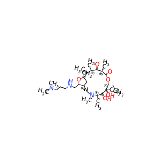 CC[C@H]1OC(=O)[C@H](C)C(=O)[C@H](C)[C@@H](C)[C@@]2(C)C[C@H](CN(C)[C@H](C)[C@@H](O)[C@]1(C)O)C(CNCCCN(C)C)O2